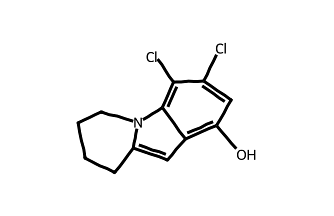 Oc1cc(Cl)c(Cl)c2c1cc1n2CCCC1